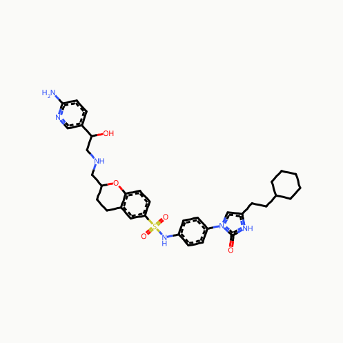 Nc1ccc(C(O)CNCC2CCc3cc(S(=O)(=O)Nc4ccc(-n5cc(CCC6CCCCC6)[nH]c5=O)cc4)ccc3O2)cn1